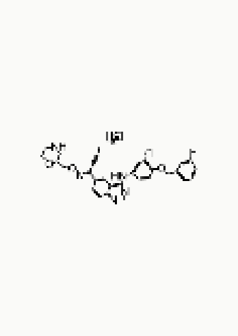 CC#C/C(=N\OC[C@@H]1CNCCO1)c1ccc2ncnc(Nc3ccc(OCc4cccc(F)c4)c(Cl)c3)c2c1.Cl.Cl